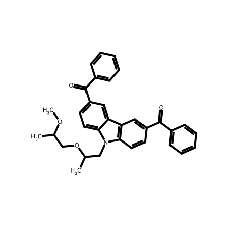 COC(C)COC(C)Cn1c2ccc(C(=O)c3ccccc3)cc2c2cc(C(=O)c3ccccc3)ccc21